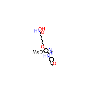 COc1cc2c(Nc3ccc4occc4c3)ncnc2cc1OCCCCCCC(=O)NO